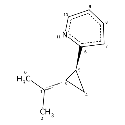 CC(C)[C@H]1C[C@@H]1c1ccccn1